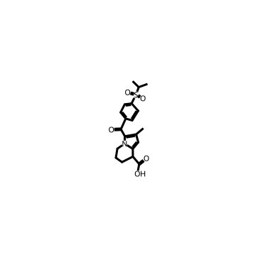 Cc1cc2n(c1C(=O)c1ccc(S(=O)(=O)C(C)C)cc1)CCCC2C(=O)O